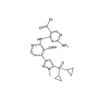 CCC(=O)c1cnc(N)cc1Nc1nccc(-c2cc(P(=O)(C3CC3)C3CC3)n(C)n2)c1OC